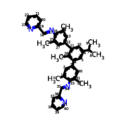 Cc1cc(-c2cc(C(C)C)cc(-c3cc(C)c(N=Cc4ccccn4)c(C)c3)c2C)cc(C)c1N=Cc1ccccn1